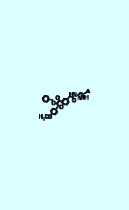 COc1ccc(-c2oc3ccc(CC(=O)Nc4cc(C5CC5)[nH]n4)cc3c(=O)c2OCc2ccccc2)cc1